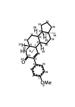 COc1ccc(C2=C[C@@]3(C)[C@@H](CC[C@H]4[C@@H]5CCC[C@@]5(C)CC[C@@H]43)NC2=O)cc1